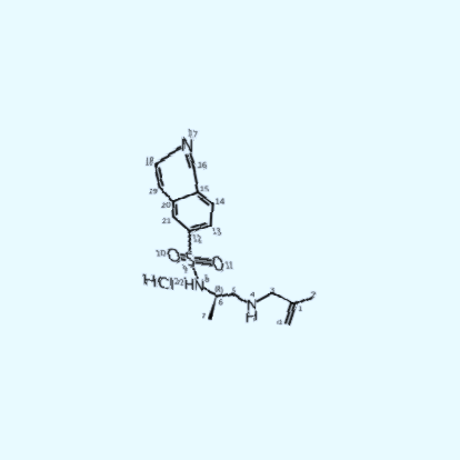 C=C(C)CNC[C@@H](C)NS(=O)(=O)c1ccc2cnccc2c1.Cl